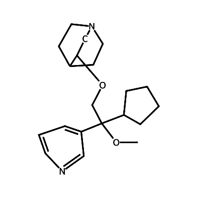 COC(COC1CN2CCC1CC2)(c1cccnc1)C1CCCC1